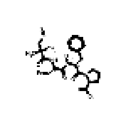 CCC(=O)C1CCCN1C(=O)[C@H](Cc1ccccc1)N(C)C(=O)[C@@H](CC(C)C)NC(=O)C(C)(C)CP=S